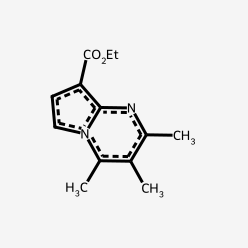 CCOC(=O)c1ccn2c(C)c(C)c(C)nc12